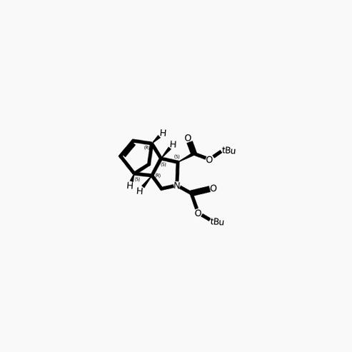 CC(C)(C)OC(=O)[C@@H]1[C@@H]2[C@H](CN1C(=O)OC(C)(C)C)[C@@H]1C=C[C@H]2C1